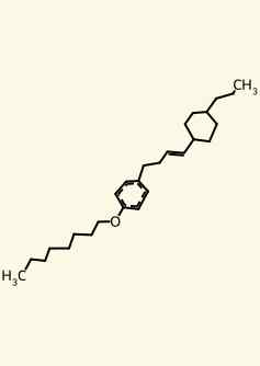 CCCCCCCCOc1ccc(CCC=CC2CCC(CCC)CC2)cc1